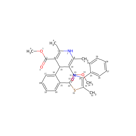 COC(=O)C1=C(C)NC(C)=C(C(=O)OC)C1c1ccccc1-c1nc(-c2ccccc2)c(C)s1